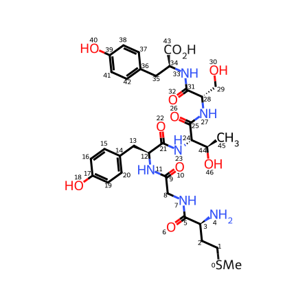 CSCC[C@H](N)C(=O)NCC(=O)N[C@@H](Cc1ccc(O)cc1)C(=O)N[C@H](C(=O)N[C@@H](CO)C(=O)N[C@@H](Cc1ccc(O)cc1)C(=O)O)[C@@H](C)O